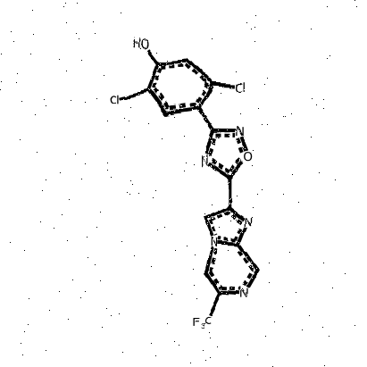 Oc1cc(Cl)c(-c2noc(-c3cn4cc(C(F)(F)F)ncc4n3)n2)cc1Cl